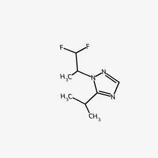 CC(C)c1ncnn1C(C)C(F)F